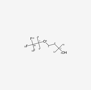 CC(C)(O)CCOC(C)(C)C(F)(F)F